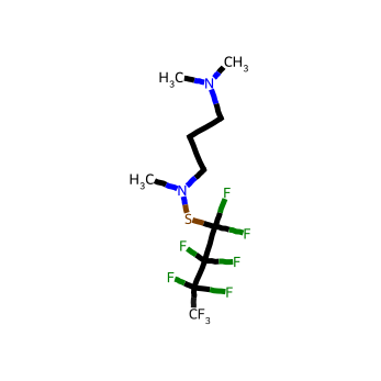 CN(C)CCCN(C)SC(F)(F)C(F)(F)C(F)(F)C(F)(F)F